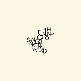 CCNC(=O)Nc1ccc(-c2nc(SC)nc3c2C(=O)N(C[C@@H]2CCCN2C)CC(C)(C)O3)cc1F